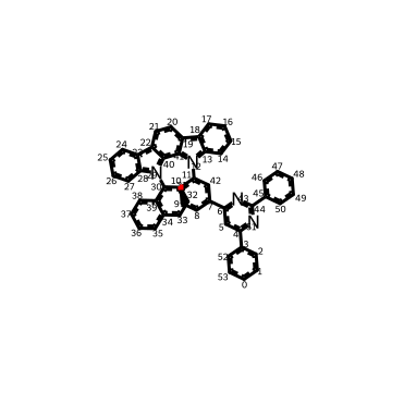 c1ccc(-c2cc(-c3cccc(-n4c5ccccc5c5ccc6c7ccccc7n(-c7cccc8ccccc78)c6c54)c3)nc(-c3ccccc3)n2)cc1